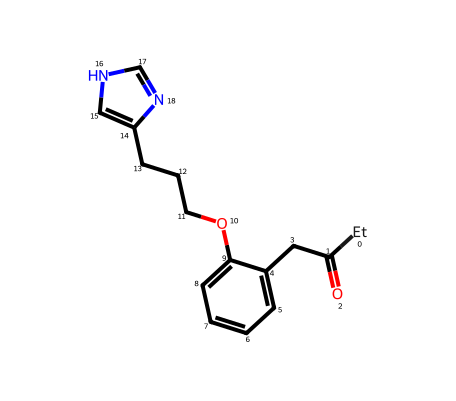 CCC(=O)Cc1ccccc1OCCCc1c[nH]cn1